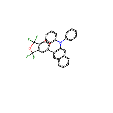 FC1(F)OC(F)(F)c2cc(-c3cc4ccccc4cc3N(c3ccccc3)c3ccccc3)ccc21